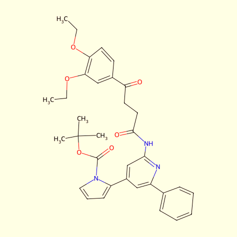 CCOc1ccc(C(=O)CCC(=O)Nc2cc(-c3cccn3C(=O)OC(C)(C)C)cc(-c3ccccc3)n2)cc1OCC